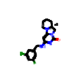 O=c1nc(NCc2cc(F)cc(F)c2)cc2n1C[C@@H]1CCCCN21